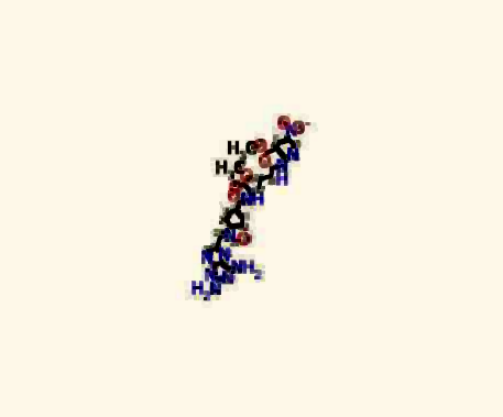 COC(=O)c1cc([N+](=O)[O-])cnc1NCCCC[C@H](NC(=O)c1ccc(N(C=O)Cc2cnc3nc(N)nc(N)c3n2)cc1)C(=O)OC